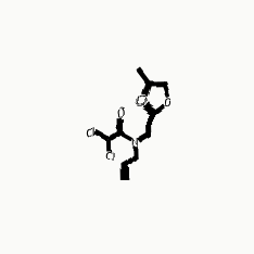 C=CCN(CC1OCC(C)O1)C(=O)C(Cl)Cl